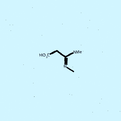 CN=C(CC(=O)O)NC